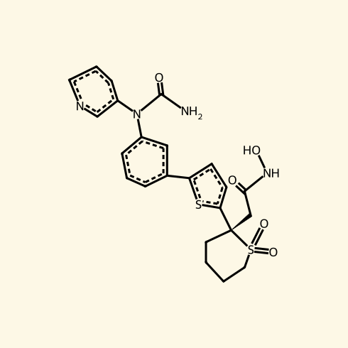 NC(=O)N(c1cccnc1)c1cccc(-c2ccc([C@@]3(CC(=O)NO)CCCCS3(=O)=O)s2)c1